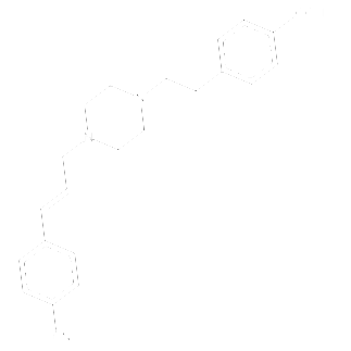 N#Cc1ccc(/C=C/CN2CCN(CCc3ccc(C(=O)O)cc3)CC2)cc1